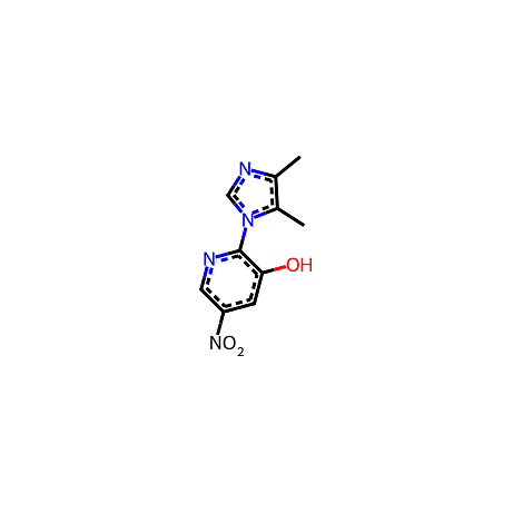 Cc1ncn(-c2ncc([N+](=O)[O-])cc2O)c1C